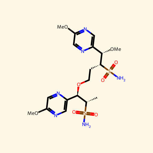 COc1cnc([C@@H](OCC[C@H]([C@@H](OC)c2cnc(OC)cn2)S(N)(=O)=O)[C@H](C)S(N)(=O)=O)cn1